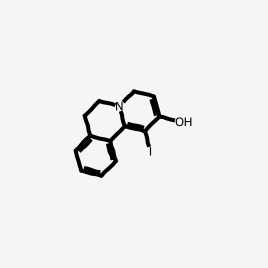 OC1=CCN2CCc3ccccc3C2=C1I